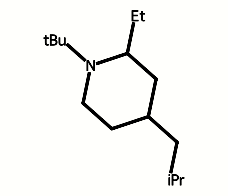 CCC1CC(CC(C)C)CCN1C(C)(C)C